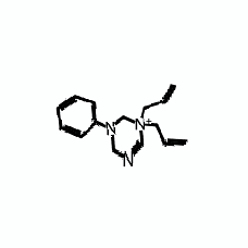 C=CC[N+]1(CC=C)C=NCN(c2ccccc2)C1